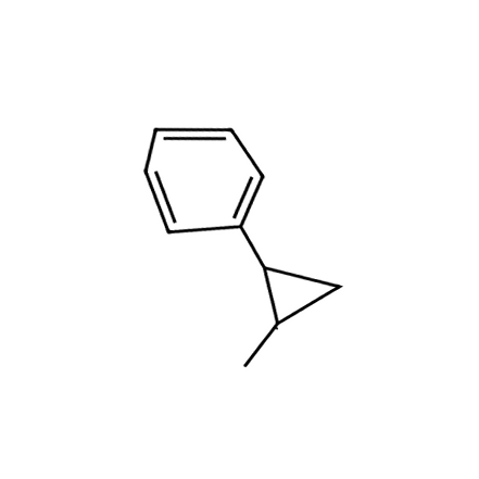 C[C]1CC1c1ccccc1